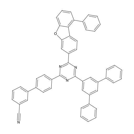 N#Cc1cccc(-c2ccc(-c3nc(-c4cc(-c5ccccc5)cc(-c5ccccc5)c4)nc(-c4ccc5c(c4)oc4cccc(-c6ccccc6)c45)n3)cc2)c1